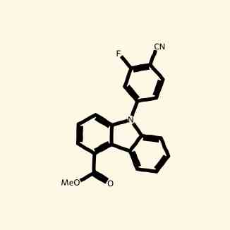 COC(=O)c1cccc2c1c1ccccc1n2-c1ccc(C#N)c(F)c1